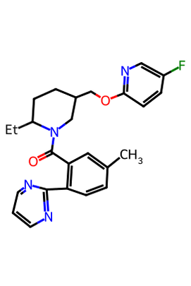 CCC1CCC(COc2ccc(F)cn2)CN1C(=O)c1cc(C)ccc1-c1ncccn1